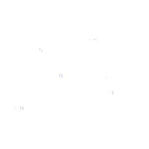 COc1cc(C)c2c3ccncc3n(CCCN)c2c1